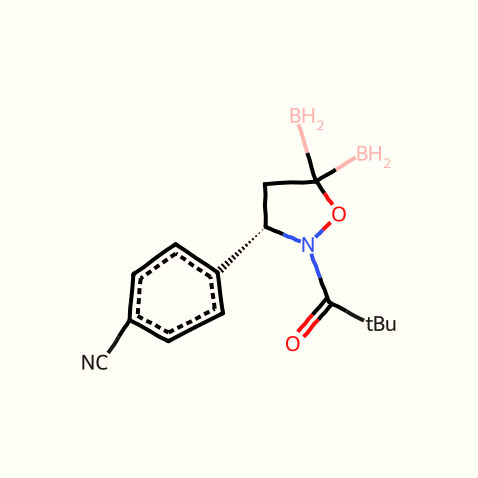 BC1(B)C[C@@H](c2ccc(C#N)cc2)N(C(=O)C(C)(C)C)O1